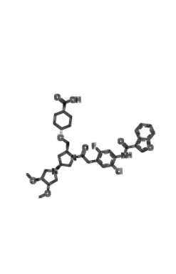 COC1CN([C@H]2C[C@@H](CO[C@H]3CC[C@H](C(=O)O)CC3)N(C(=O)Cc3cc(Cl)c(NC(=O)c4coc5ccccc45)cc3F)C2)C[C@@H]1OC